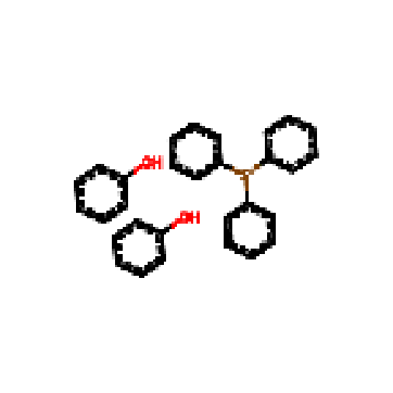 Oc1ccccc1.Oc1ccccc1.c1ccc([S+](c2ccccc2)c2ccccc2)cc1